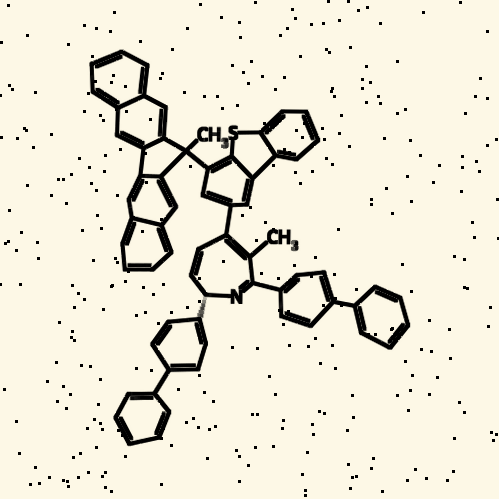 CC1=C(c2cc(C3(C)c4cc5ccccc5cc4-c4cc5ccccc5cc43)c3sc4ccccc4c3c2)C=C[C@@H](c2ccc(-c3ccccc3)cc2)N=C1c1ccc(-c2ccccc2)cc1